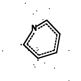 [c]1[c]nccc1